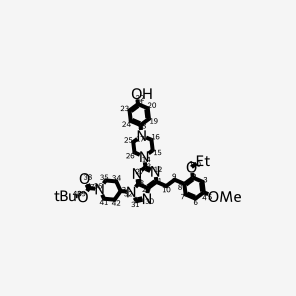 CCOc1cc(OC)ccc1CCc1nc(N2CCN(c3ccc(O)cc3)CC2)nc2c1ncn2C1CCN(C(=O)OC(C)(C)C)CC1